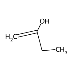 C=C(O)CC